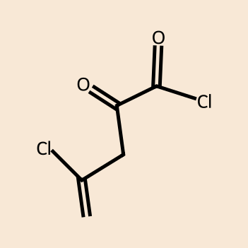 C=C(Cl)CC(=O)C(=O)Cl